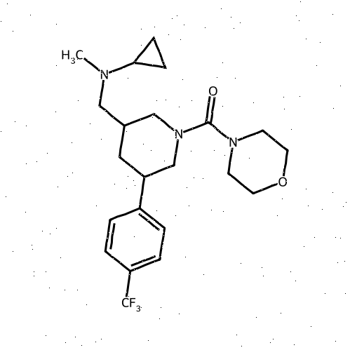 CN(CC1CC(c2ccc(C(F)(F)F)cc2)CN(C(=O)N2CCOCC2)C1)C1CC1